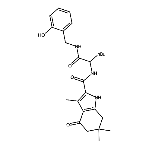 CCCCC(NC(=O)c1[nH]c2c(c1C)C(=O)CC(C)(C)C2)C(=O)NCc1ccccc1O